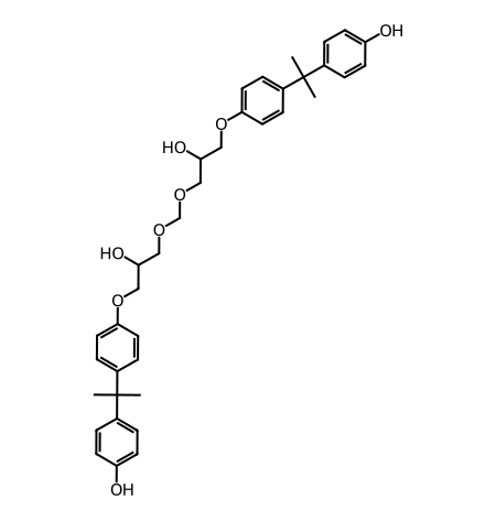 CC(C)(c1ccc(O)cc1)c1ccc(OCC(O)COCOCC(O)COc2ccc(C(C)(C)c3ccc(O)cc3)cc2)cc1